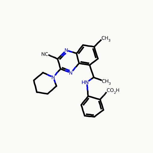 Cc1cc(C(C)Nc2ccccc2C(=O)O)c2nc(N3CCCCC3)c(C#N)nc2c1